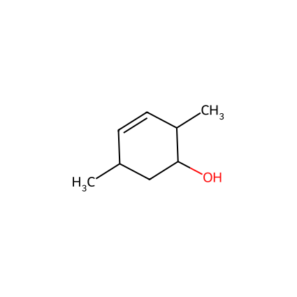 CC1C=CC(C)C(O)C1